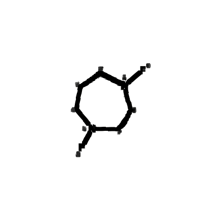 FN1CCCN(F)CC1